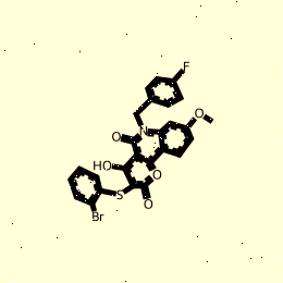 COc1ccc2c3oc(=O)c(Sc4ccccc4Br)c(O)c3c(=O)n(Cc3ccc(F)cc3)c2c1